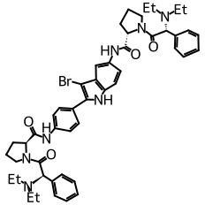 CCN(CC)[C@@H](C(=O)N1CCC[C@H]1C(=O)Nc1ccc(-c2[nH]c3ccc(NC(=O)[C@@H]4CCCN4C(=O)[C@@H](c4ccccc4)N(CC)CC)cc3c2Br)cc1)c1ccccc1